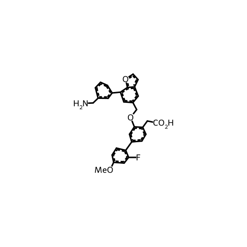 COc1ccc(-c2ccc(CC(=O)O)c(OCc3cc(-c4cccc(CN)c4)c4occc4c3)c2)c(F)c1